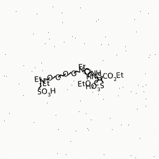 CCOC(=O)c1sc(NNc2ccc(N(CC)CCOCCOCCOCCOCC[N+](CC)(CC)CCCS(=O)(=O)O)cc2C)c(C(=O)OCC)c1CS(=O)(=O)O